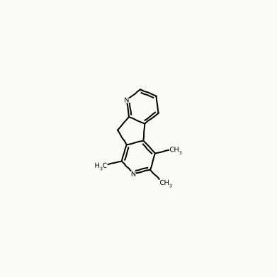 Cc1nc(C)c2c(c1C)-c1cccnc1C2